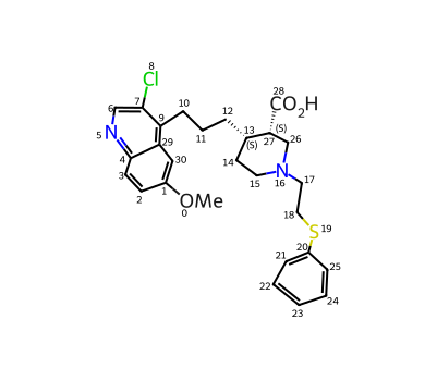 COc1ccc2ncc(Cl)c(CCC[C@H]3CCN(CCSc4ccccc4)C[C@H]3C(=O)O)c2c1